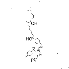 CC(C)CCC(C)CCC(O)C(C)CCCCCC[C@H](O)C1CCC(C[C@H](C)C[C@H](C[C@H](C)CCC(C)(C)F)CC2(C3CCC(I)CC3)CC2)CC1